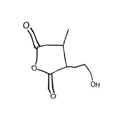 CC1C(=O)OC(=O)C1CO